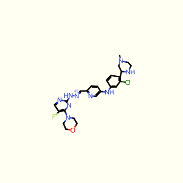 CN1CCNC(c2ccc(Nc3ccc(/C=N/Nc4ncc(F)c(N5CCOCC5)n4)nc3)cc2Cl)C1